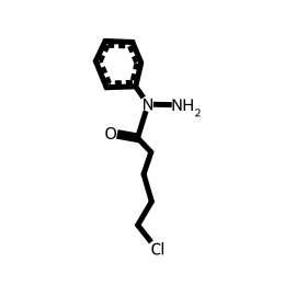 NN(C(=O)CCCCCl)c1ccccc1